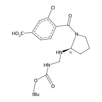 CC(C)(C)OC(=O)NCN[C@@H]1CCCN1C(=O)c1ccc(C(=O)O)cc1Cl